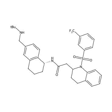 CC(C)(C)NCc1ccc2c(c1)CCC[C@H]2NC(=O)CC1CCc2ccccc2N1S(=O)(=O)c1cccc(C(F)(F)F)c1